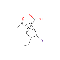 CCC1C(I)C2C(C(=O)O)C(C(C)=O)C1C21CC1